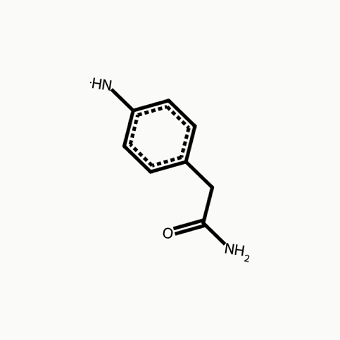 [NH]c1ccc(CC(N)=O)cc1